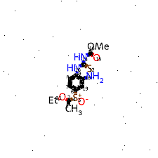 CCOC(C)[S+]([O-])c1ccc(NC(=S)NC(=O)OC)c(N)c1